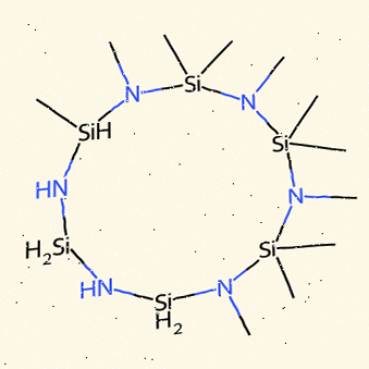 CN1[SiH2]N[SiH2]N[SiH](C)N(C)[Si](C)(C)N(C)[Si](C)(C)N(C)[Si]1(C)C